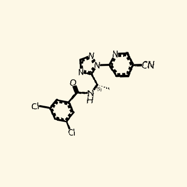 C[C@H](NC(=O)c1cc(Cl)cc(Cl)c1)c1ncnn1-c1ccc(C#N)cn1